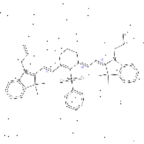 C=CCN1/C(=C/C=C2\CCCC(/C=C/C3=[N+](CC=C)c4ccccc4C3(C)C)=C2S(=O)(=O)c2ccccc2)C(C)(C)c2ccccc21